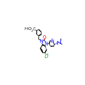 CN(C)c1ccc(-n2c(=O)n(Cc3cccc(C(=O)O)c3)c3ccc(Cl)cc32)cn1